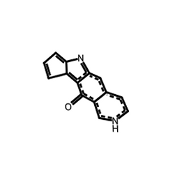 O=c1c2c[nH]ccc-2cc2c1=C1C=CC=C1N=2